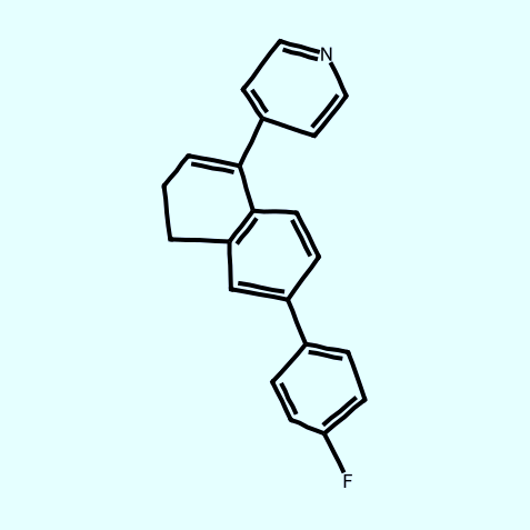 Fc1ccc(-c2ccc3c(c2)CCC=C3c2ccncc2)cc1